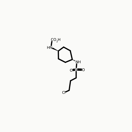 O=C(O)N[C@H]1CC[C@H](NS(=O)(=O)CCCCl)CC1